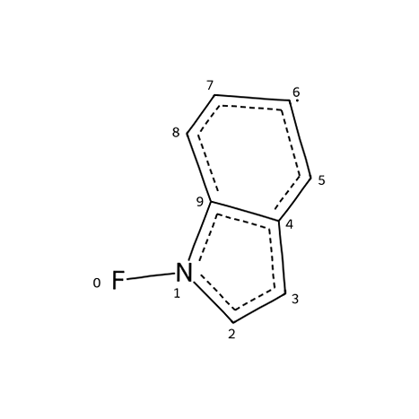 Fn1ccc2c[c]ccc21